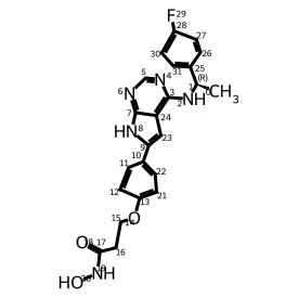 C[C@@H](Nc1ncnc2[nH]c(-c3ccc(OCCC(=O)NO)cc3)cc12)c1ccc(F)cc1